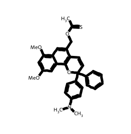 COc1cc(OC)c2cc(COC(C)=S)c3c(c2c1)OC(c1ccccc1)(c1ccc(N(C)C)cc1)C=C3